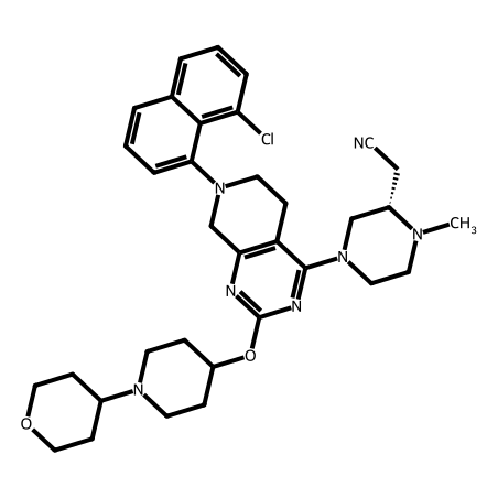 CN1CCN(c2nc(OC3CCN(C4CCOCC4)CC3)nc3c2CCN(c2cccc4cccc(Cl)c24)C3)C[C@@H]1CC#N